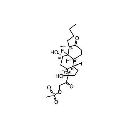 CCCC[C@@]1(C)C(=O)CC[C@H]2[C@@H]3CC[C@](O)(C(=O)COS(C)(=O)=O)[C@@]3(C)C[C@H](O)C21F